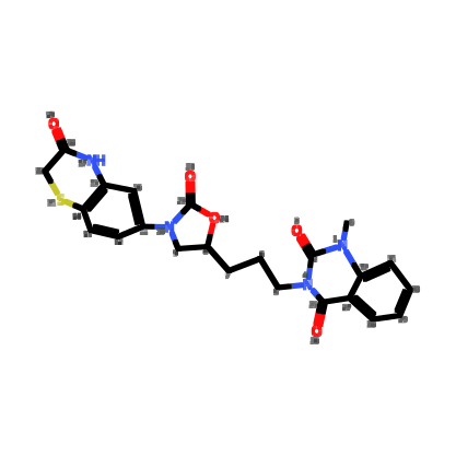 Cn1c(=O)n(CCCC2CN(c3ccc4c(c3)NC(=O)CS4)C(=O)O2)c(=O)c2ccccc21